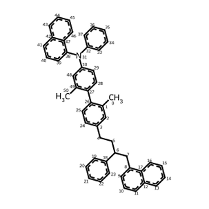 Cc1cc(CCC(Cc2cccc3ccccc23)c2ccccc2)ccc1-c1ccc(N(c2ccccc2)c2cccc3ccccc23)cc1C